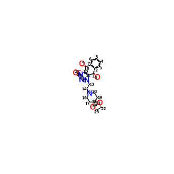 O=C1c2ccccc2C(=O)c2c1n(CCN1CCC3(CC1)OCCO3)n[n+]2[O-]